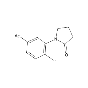 [CH2]c1ccc(C(C)=O)cc1N1CCCC1=O